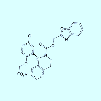 O=C(O)COc1ccc(Cl)cc1[C@@H]1c2ccccc2CCN1C(=O)OCc1nc2ccccc2o1